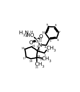 CCC1(N(Cc2ccccc2)S(=O)(=O)O)CCCCC1(C)C.N